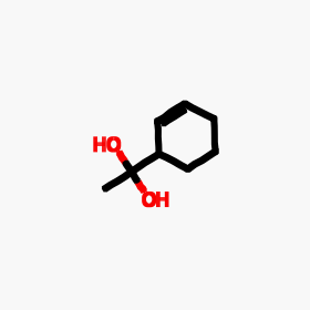 CC(O)(O)C1C=CCCC1